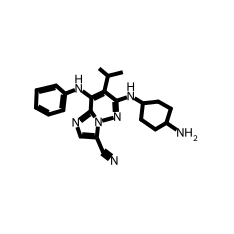 CC(C)c1c(NC2CCC(N)CC2)nn2c(C#N)cnc2c1Nc1ccccc1